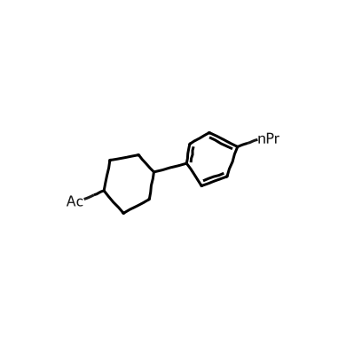 CCCc1ccc(C2CCC(C(C)=O)CC2)cc1